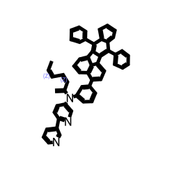 C=C(/C=C\C=C/C)N(c1ccc(-c2cccnc2)nc1)c1cccc(-c2ccc3c4c(cccc24)-c2c-3c(-c3ccccc3)c3ccccc3c2-c2ccccc2)c1